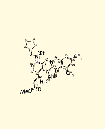 CCN(CC1CCCC1)c1ncc(C=CC(=O)OC)cc1CN(Cc1cc(C(F)(F)F)cc(C(F)(F)F)c1)c1nnn(C)n1